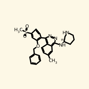 Cc1ccc2c(-c3ccc(S(C)(=O)=O)cc3OCc3ccccc3)nnc(N[C@@H]3CCCNC3)c2c1